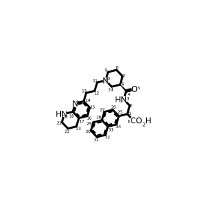 O=C(O)C(CNC(=O)[C@@H]1CCCN(CCCc2ccc3c(n2)NCCC3)C1)c1ccc2ccccc2c1